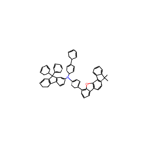 CC1(C)c2ccccc2-c2c1ccc1c2oc2c(C3=CC=C(N(c4ccc5c(c4)C(c4ccccc4)(C4C=CC=CC4)C4=C5CCC=C4)C4C=CC(C5C=CC=CC5)=CC4)CC3)cccc21